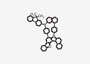 CC1(C)c2ccccc2-c2ccc(N(c3ccccc3)c3ccc(-c4cc5c6ccccc6oc5c5c6c7ccccc7ccc6n(-c6ccc(-c7ccccc7)cc6)c45)cc3)cc21